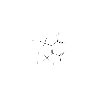 CC(C)(C)/C(C(=O)O)=C(/C(=O)O)C(C)(C)C